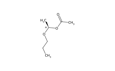 CCCO[C@@H](C)OC(C)=O